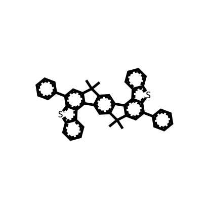 CC1(C)c2cc3c(cc2-c2c1cc(-c1ccccc1)c1sc4ccccc4c21)C(C)(C)c1cc(-c2ccccc2)c2sc4ccccc4c2c1-3